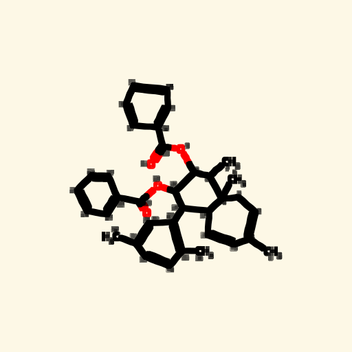 CC1=CCC2(C)C(C)C(OC(=O)c3ccccc3)C(OC(=O)c3ccccc3)C(c3cc(C)ccc3C)C2C=C1